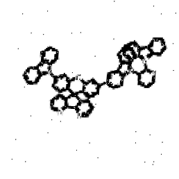 c1cnc(-n2c3ccccc3c3ccccc32)c(-n2c3ccccc3c3cc(-c4ccc5c(c4)Oc4cc(-n6c7ccccc7c7ccccc76)ccc4C54c5cccnc5-c5ncccc54)ccc32)c1